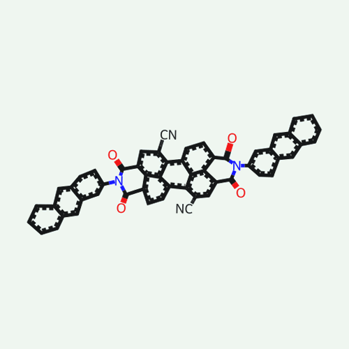 N#Cc1cc2c3c(ccc4c5c(C#N)cc6c7c(ccc(c1c34)c75)C(=O)N(c1ccc3cc4ccccc4cc3c1)C6=O)C(=O)N(c1ccc3cc4ccccc4cc3c1)C2=O